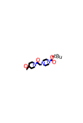 CC(C)(C)OC(=O)N1CCN(CC(=O)N2CCC3(CC2)CO3)CC1